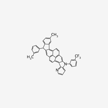 Cc1cccc(C2c3ccc(C)cc3-c3c2cc2ccc4c5c(ccc3c25)cc2c4c3ncccc3n2-c2cccc(C(F)(F)F)c2)c1